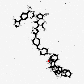 Cc1ncsc1-c1ccc([C@H](C)NC(=O)[C@@H]2C[C@@H](O)CN2C(=O)[C@@H](c2cc(N3CCC(CN4CCC(O[C@H]5C[C@H](C(=O)N6CCC(N7C8CCC7CN(c7cc(-c9ccccc9O)nnc7N)C8)CC6)C5)CC4)CC3)no2)C(C)C)cc1